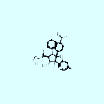 CN(C)C(=O)C1C(O)C2(O)c3ncc(Cl)cc3OC2(c2ccc(C(F)F)cc2)C1c1ccccc1